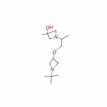 CC(COC1CN(C(C)(C)C)C1)N1CC(C)(O)C1